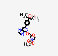 CCC(O)(CC)c1ccc(-c2cc3nccnc3c(OC[C@@H]3CN(S(C)(=O)=O)CCO3)n2)cc1